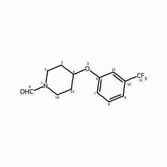 O=CN1CCC(Oc2cccc(C(F)(F)F)c2)CC1